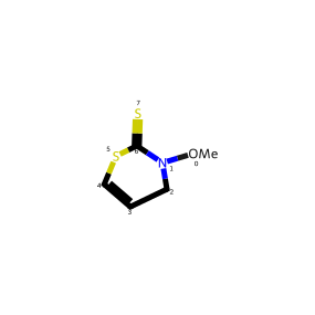 CON1CC=CSC1=S